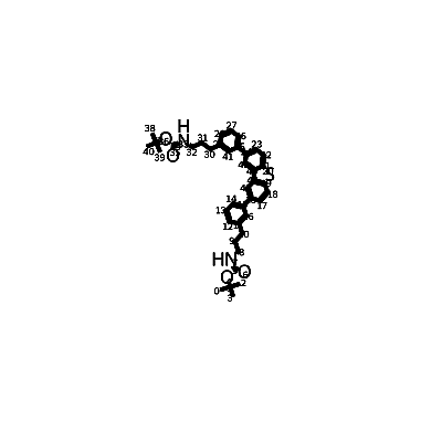 CC(C)(C)OC(=O)NCCCc1cccc(-c2ccc3sc4ccc(-c5cccc(CCCNC(=O)OC(C)(C)C)c5)cc4c3c2)c1